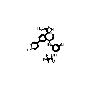 Cc1nnn2c1-c1ccc(C3=CCN(C(C)C)CC3)cc1C(Nc1cccc(Cl)c1)CC2.O=C(O)C(F)(F)F